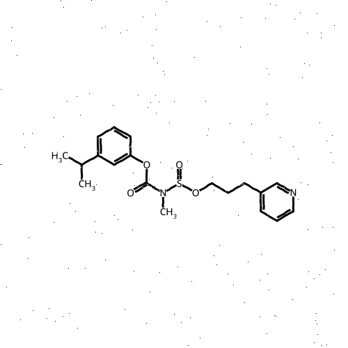 CC(C)c1cccc(OC(=O)N(C)S(=O)OCCCc2cccnc2)c1